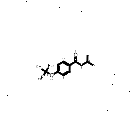 CC(C)CC(=O)c1ccc(OC(F)(F)F)cc1